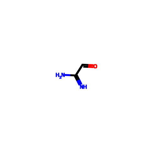 N=C(N)C=O